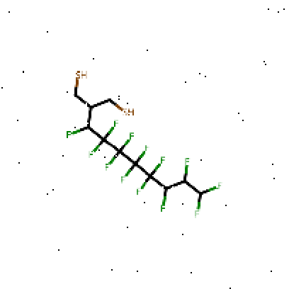 FC(F)C(F)C(F)C(F)(F)C(F)(F)C(F)(F)C(F)(F)C(F)C(CS)CS